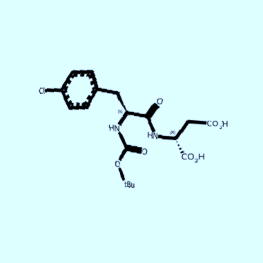 CC(C)(C)OC(=O)N[C@@H](Cc1ccc(Cl)cc1)C(=O)N[C@H](CC(=O)O)C(=O)O